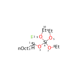 CCCCCCCC[SiH](F)O[Si](OCC)(OCC)OCC